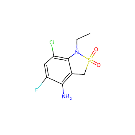 CCN1c2c(Cl)cc(F)c(N)c2CS1(=O)=O